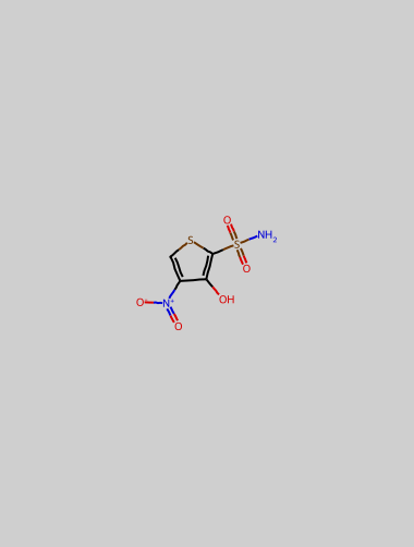 NS(=O)(=O)c1scc([N+](=O)[O-])c1O